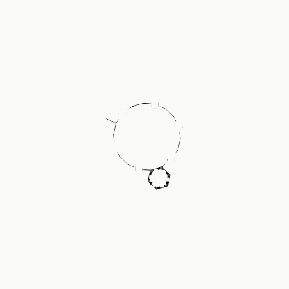 CC1COCCOc2ccccc2OCCOCCOCCO1